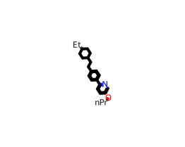 CCCOc1ccc(-c2ccc(CCC3CCC(CC)CC3)cc2)nc1